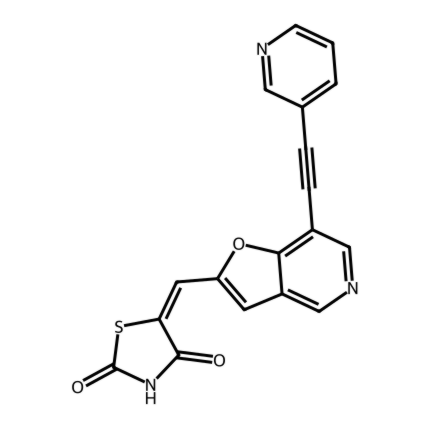 O=C1NC(=O)/C(=C\c2cc3cncc(C#Cc4cccnc4)c3o2)S1